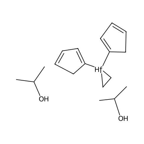 C1=CC[C]([Hf]2([C]3=CC=CC3)[CH2][CH2]2)=C1.CC(C)O.CC(C)O